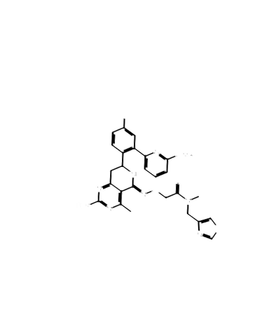 COc1cccc(-c2cc(F)ccc2C2Cc3nc(N)nc(C)c3/C(=N/OCC(=O)N(C)Cc3cscn3)N2)n1